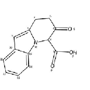 O=C(O)C1C(=O)CCc2cc3ccccc3n21